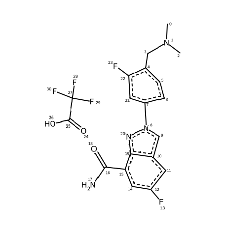 CN(C)Cc1ccc(-n2cc3cc(F)cc(C(N)=O)c3n2)cc1F.O=C(O)C(F)(F)F